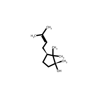 CC(C)=CC[C@@H]1CC[C@@](C)(O)C1(C)C